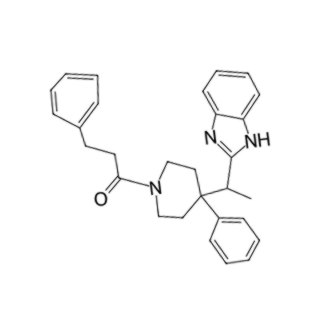 CC(c1nc2ccccc2[nH]1)C1(c2ccccc2)CCN(C(=O)CCc2ccccc2)CC1